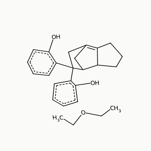 CCOCC.Oc1ccccc1C1(c2ccccc2O)CC2=C3CCCC3C1C2